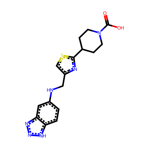 O=C(O)N1CCC(c2nc(CNc3ccc4[nH]nnc4c3)cs2)CC1